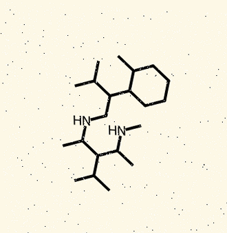 CNC(C)C(C(C)C)C(C)NCC(C(C)C)C1CCCCC1C